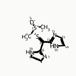 C[S+](C)[O-].S=C(c1ncc[nH]1)c1ncc[nH]1